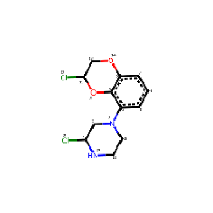 ClC1CN(c2cccc3c2OC(Cl)CO3)CCN1